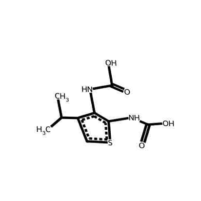 CC(C)c1csc(NC(=O)O)c1NC(=O)O